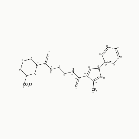 CCOC(=O)C1CCCN(C(=O)NCCNC(=O)c2cn(-c3ccccc3)nc2C(F)(F)F)C1